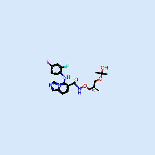 C[C@@H](CONC(=O)c1ccc2cncn2c1Nc1ccc(I)cc1F)COC(C)(C)O